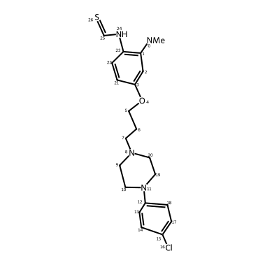 CNc1cc(OCCCN2CCN(c3ccc(Cl)cc3)CC2)ccc1NC=S